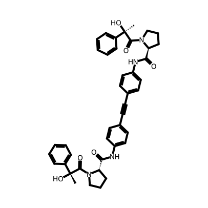 C[C@](O)(C(=O)N1CCC[C@H]1C(=O)Nc1ccc(C#Cc2ccc(NC(=O)[C@@H]3CCCN3C(=O)[C@](C)(O)c3ccccc3)cc2)cc1)c1ccccc1